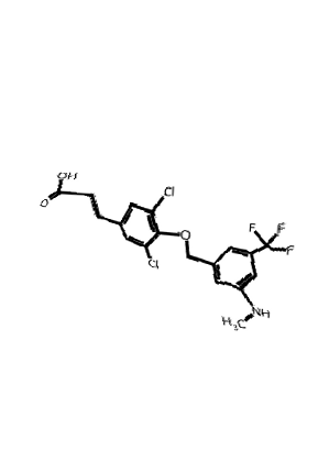 CNc1cc(COc2c(Cl)cc(CCC(=O)O)cc2Cl)cc(C(F)(F)F)c1